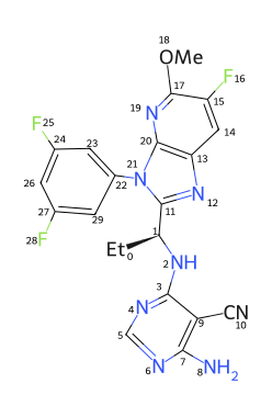 CC[C@H](Nc1ncnc(N)c1C#N)c1nc2cc(F)c(OC)nc2n1-c1cc(F)cc(F)c1